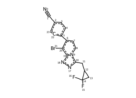 N#Cc1ccc(-c2ccn3c(CC4CC4(F)F)nnc3c2Br)cc1